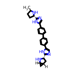 C[C@@H]1CC[C@@H](c2ncc(-c3ccc(-c4ccc(-c5cnc([C@@H]6C[C@@H]7C[C@@H]7N6)[nH]5)cc4)cc3)[nH]2)N1